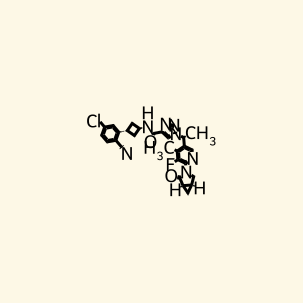 Cc1c([C@H](C)n2cc(C(=O)N[C@H]3C[C@@H](c4cc(Cl)ccc4C#N)C3)nn2)cnc(N2C[C@H]3C[C@H]3C2=O)c1F